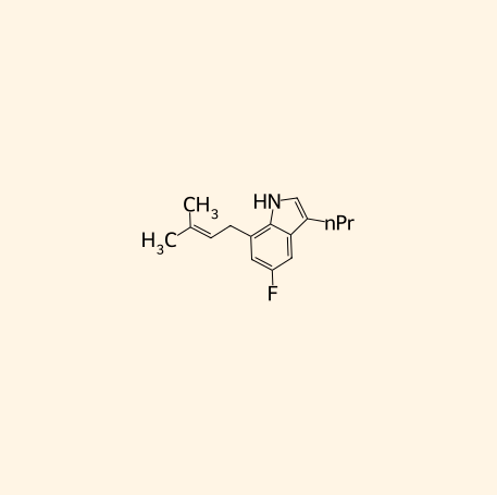 CCCc1c[nH]c2c(CC=C(C)C)cc(F)cc12